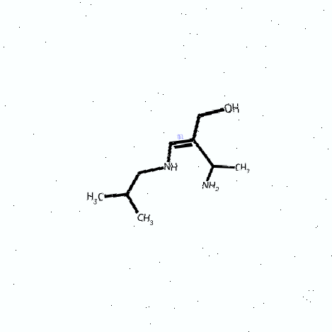 CC(C)CN/C=C(/CO)C(C)N